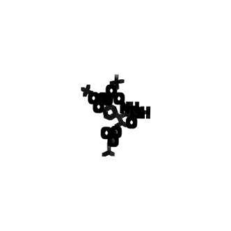 CC(C)COC(=O)OCC(C)C(c1ccc(OC(=O)OCC(C)(C)C)c(OC(=O)OCC(C)(C)C)c1)[C@H](N)C(=O)O